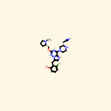 CN1CCC[C@H]1COc1nc(N2CCN[C@@H](CC#N)C2)c2ncc(Cc3c(O)cccc3F)n2n1